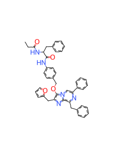 CCC(=O)NC(Cc1ccccc1)C(=O)Nc1ccc(COc2c(Cc3ccco3)nc3c(Cc4ccccc4)nc(-c4ccccc4)cn23)cc1